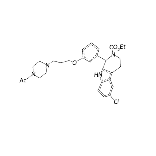 CCOC(=O)N1CCc2c([nH]c3ccc(Cl)cc23)C1c1cccc(OCCCN2CCN(C(C)=O)CC2)c1